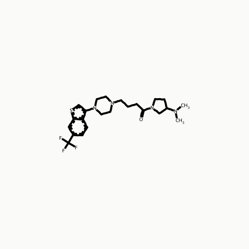 CN(C)C1CCN(C(=O)CCCN2CCN(c3csc4cc(C(F)(F)F)ccc34)CC2)C1